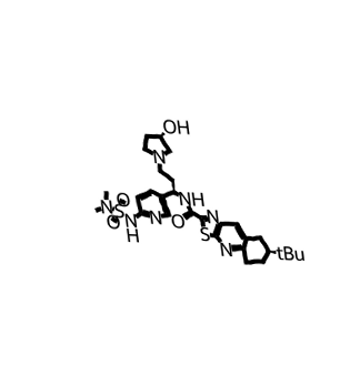 CN(C)S(=O)(=O)Nc1ccc([C@@H](CCN2CC[C@@H](O)C2)NC(=O)c2nc3cc4c(nc3s2)CC[C@H](C(C)(C)C)C4)cn1